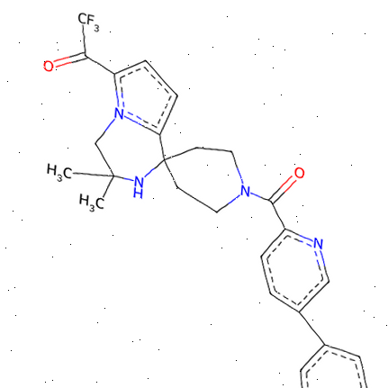 CC1(C)Cn2c(C(=O)C(F)(F)F)ccc2C2(CCN(C(=O)c3ccc(-c4ccccc4)cn3)CC2)N1